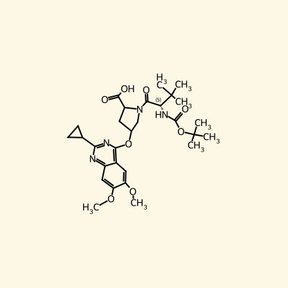 COc1cc2nc(C3CC3)nc(OC3CC(C(=O)O)N(C(=O)[C@@H](NC(=O)OC(C)(C)C)C(C)(C)C)C3)c2cc1OC